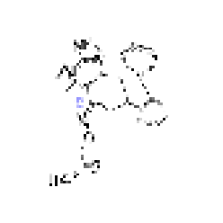 Cc1nc(N)nc2c1/C(=N/OCC(=O)O)CC(c1ccccc1-c1ccccc1)C2